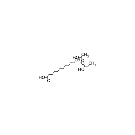 CC(=O)O.CCC(=O)O.CCCCCCCCCCCC(=O)O